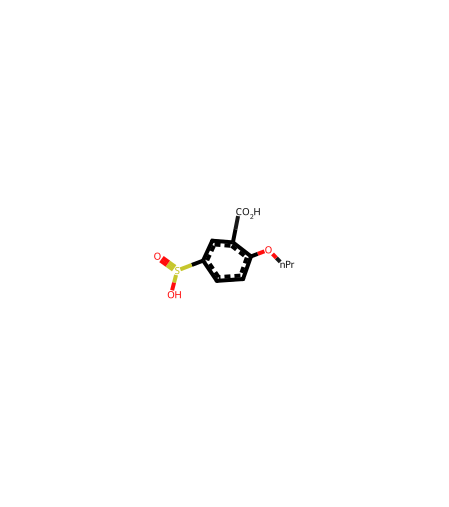 CCCOc1ccc(S(=O)O)cc1C(=O)O